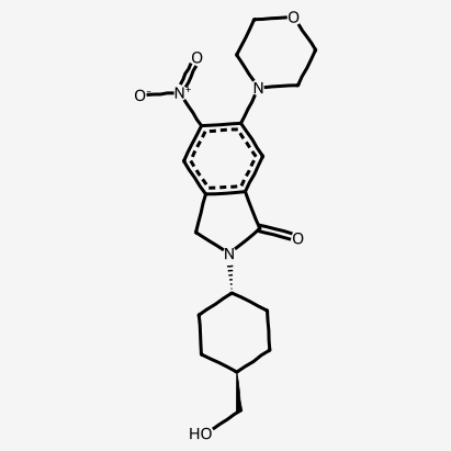 O=C1c2cc(N3CCOCC3)c([N+](=O)[O-])cc2CN1[C@H]1CC[C@H](CO)CC1